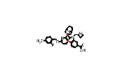 Cc1ccc(COc2cccc(N3CC4CCC(C3)N4Cc3nc4ccc(C(=O)O)cc4n3C[C@@H]3CCO3)n2)c(F)c1